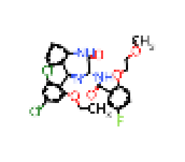 CCOc1cc(Cl)cc(Cl)c1C1=N[C@@H](NC(=O)c2cc(F)ccc2OCCOC)C(=O)Nc2ccccc21